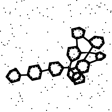 c1ccc(-c2ccc(-c3ccc(N(c4ccccc4)c4ccc5c(c4)[C@@]4(c6ccccc6-c6ccccc6-5)c5ccccc5-c5cc6ccccc6cc54)cc3)cc2)cc1